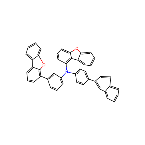 c1cc(-c2cccc3c2oc2ccccc23)cc(N(c2ccc(-c3ccc4ccccc4c3)cc2)c2cccc3oc4ccccc4c23)c1